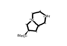 CO[C@@H]1CC2CNCCN2C1